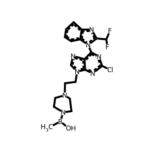 CB(O)N1CCN(CCn2cnc3c(-n4c(C(F)F)nc5ccccc54)nc(Cl)nc32)CC1